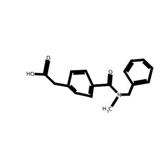 CN(Cc1ccccc1)C(=O)c1ccc(CC(=O)O)cc1